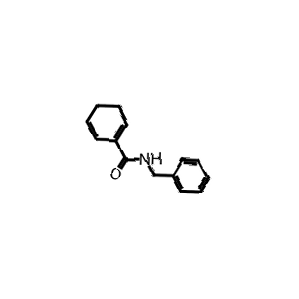 O=C(NCc1ccccc1)C1=CCCC=C1